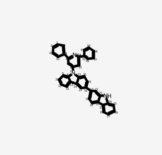 c1ccc(-c2cc(-n3c4ccccc4c4cc(-c5ccc6c(c5)[nH]c5ccccc56)ccc43)cc(-c3ccccc3)n2)cc1